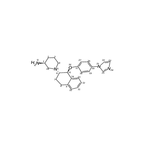 N[C@H]1CCCN([C@H]2CCc3ccccc3[C@@H]2Oc2ccc(-n3ccnc3)cc2)C1